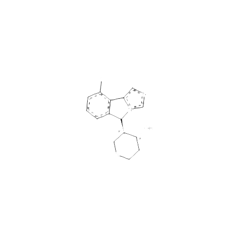 O[C@@H]1CCOC[C@H]1C1c2cccc(F)c2-c2cncn21